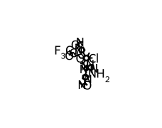 Cc1c(Cl)cc(C(C)n2nc(-c3ccc(C(=O)N(C)C)nc3)c3c(N)ncnc32)c(OCCOC(=O)C(F)(F)F)c1-c1ccc(C(=O)N(C)C)nc1